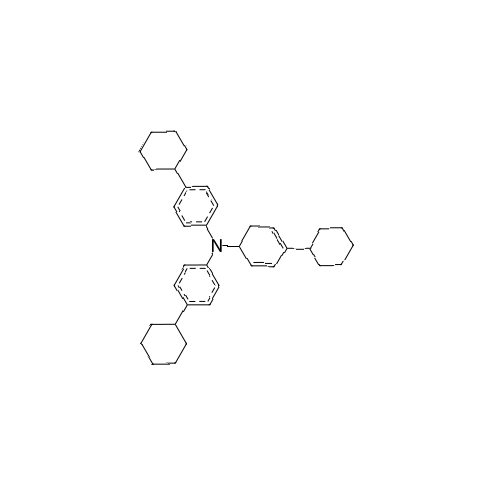 C1=CC(N(c2ccc(C3CCCCC3)cc2)c2ccc(C3CCCCC3)cc2)CC=C1C1CCCCC1